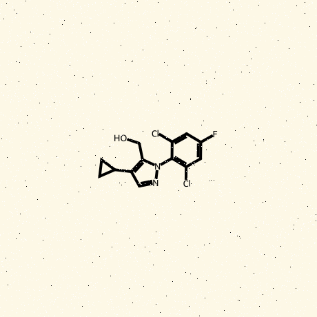 OCc1c(C2CC2)cnn1-c1c(Cl)cc(F)cc1Cl